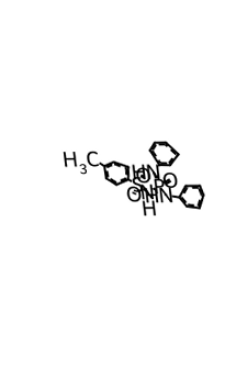 Cc1ccc(S(=O)(=O)NP(=O)(Nc2ccccc2)Nc2ccccc2)cc1